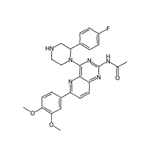 COc1ccc(-c2ccc3nc(NC(C)=O)nc(N4CCNCC4c4ccc(F)cc4)c3n2)cc1OC